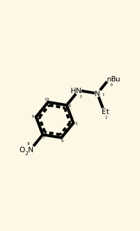 CCCCN(CC)Nc1ccc([N+](=O)[O-])cc1